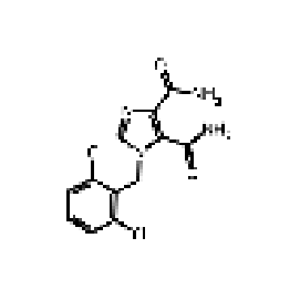 NC(=O)c1ncn(Cc2c(Cl)cccc2Cl)c1C(N)=O